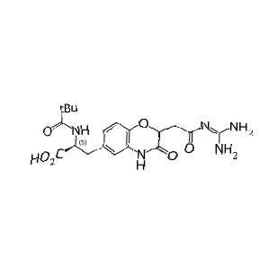 CC(C)(C)C(=O)N[C@@H](Cc1ccc2c(c1)NC(=O)C(CC(=O)N=C(N)N)O2)C(=O)O